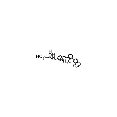 Cc1c(/C=C/c2ccc(CNCC(O)CC(=O)O)cn2)cccc1-c1ccc2c(c1)OCCO2